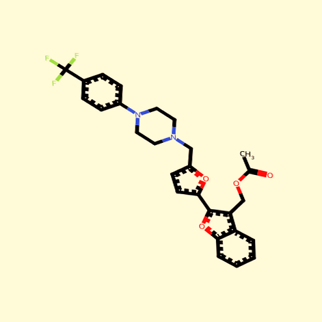 CC(=O)OCc1c(-c2ccc(CN3CCN(c4ccc(C(F)(F)F)cc4)CC3)o2)oc2ccccc12